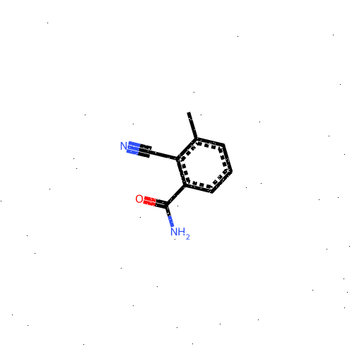 Cc1cccc(C(N)=O)c1C#N